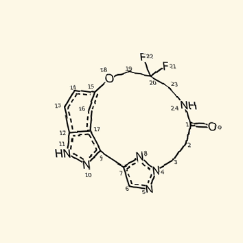 O=C1CCn2ncc(n2)-c2n[nH]c3ccc(cc23)OCC(F)(F)CN1